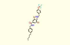 CCCCCc1ccc(CNC(=O)c2cc(Br)c(CNCc3ccc(OC(F)(F)F)cc3)c(Br)c2)cc1